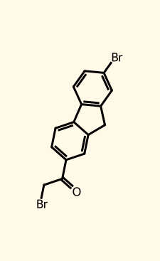 O=C(CBr)c1ccc2c(c1)Cc1cc(Br)ccc1-2